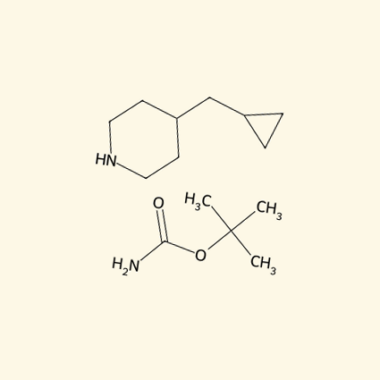 C1CC(CC2CC2)CCN1.CC(C)(C)OC(N)=O